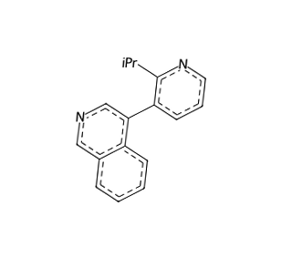 CC(C)c1ncccc1-c1cncc2ccccc12